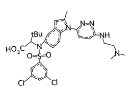 Cc1cc2cc(N(C(C(=O)O)C(C)(C)C)S(=O)(=O)c3cc(Cl)cc(Cl)c3)ccc2n1-c1ccc(NCCN(C)C)nn1